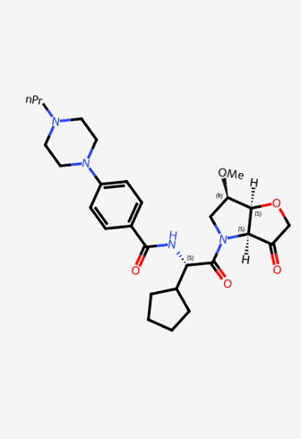 CCCN1CCN(c2ccc(C(=O)N[C@H](C(=O)N3C[C@@H](OC)[C@H]4OCC(=O)[C@H]43)C3CCCC3)cc2)CC1